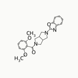 COc1cccc(OC)c1C(=O)N1CC2CN(c3nc4ccccc4o3)CC2C1